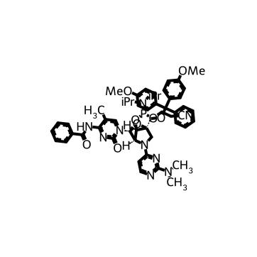 COc1ccc(C(OC[C@@]23CN(c4ccnc(N(C)C)n4)[C@@H]([C@H](n4cc(C)c(NC(=O)c5ccccc5)nc4=O)O2)[C@@H]3OP(OCCC#N)N(C(C)C)C(C)C)(c2ccccc2)c2ccc(OC)cc2)cc1